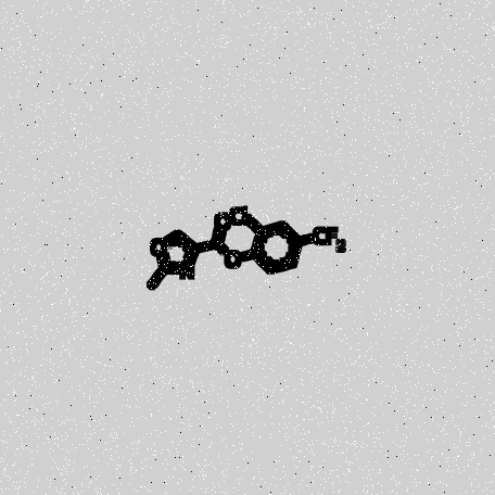 Cc1nc(C(=O)Oc2ccc(C(F)(F)F)cc2Cl)co1